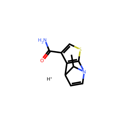 CC1C2C=CN1c1scc(C(N)=O)c12.[H+]